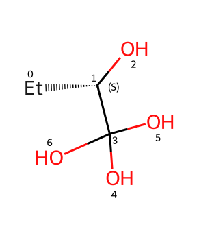 CC[C@H](O)C(O)(O)O